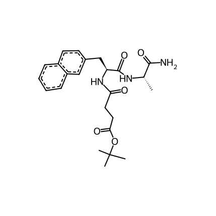 C[C@H](NC(=O)[C@H](Cc1ccc2ccccc2c1)NC(=O)CCC(=O)OC(C)(C)C)C(N)=O